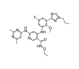 CCCn1cnc(-c2cc(F)cc(Nc3cc(Nc4cc(C)nc(C)n4)ncc3C(=O)NOCC)c2OC)n1